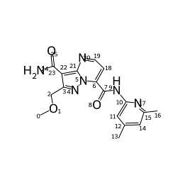 COCc1nn2c(C(=O)Nc3cc(C)cc(C)n3)ccnc2c1C(N)=O